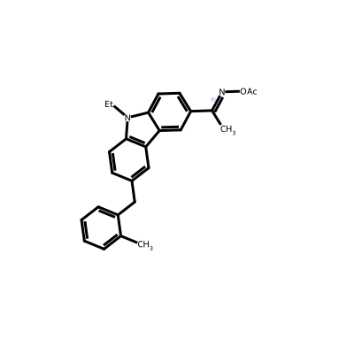 CCn1c2ccc(Cc3ccccc3C)cc2c2cc(/C(C)=N/OC(C)=O)ccc21